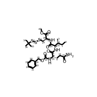 CC[C@H](C)[C@H](NC(=O)[C@H](CCC(N)=O)NC(=O)OCc1ccccc1)C(=O)N[C@@H](CSSSC(C)(C)C)C(=O)OC